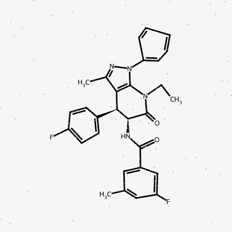 CCN1C(=O)[C@@H](NC(=O)c2cc(C)cc(F)c2)[C@@H](c2ccc(F)cc2)c2c(C)nn(-c3ccccc3)c21